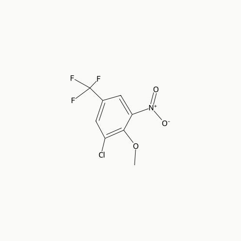 COc1c(Cl)cc(C(F)(F)F)cc1[N+](=O)[O-]